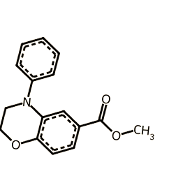 COC(=O)c1ccc2c(c1)N(c1ccccc1)CCO2